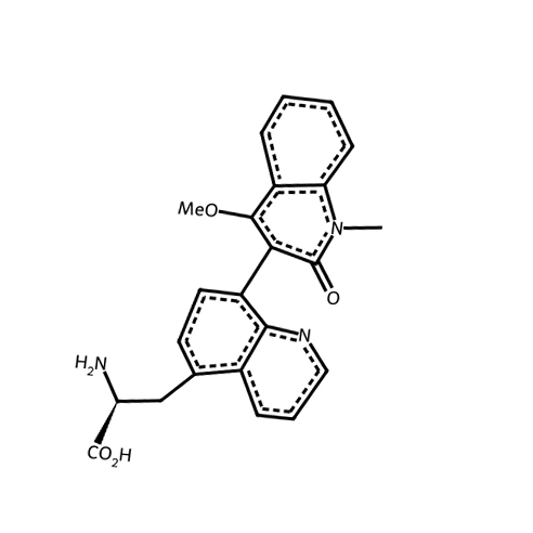 COc1c(-c2ccc(C[C@H](N)C(=O)O)c3cccnc23)c(=O)n(C)c2ccccc12